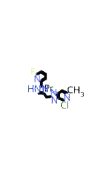 CCCn1c(Cc2c[nH]c(-c3cccc(F)n3)n2)nc2c(Cl)nc(C)cc21